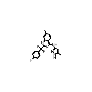 Cc1ccc2c(Nc3cc(C)[nH]n3)nc(C(F)(F)c3ccc(F)cc3)nc2c1